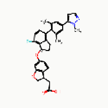 Cc1cc(-c2ccnn2C)cc(C)c1-c1ccc(F)c2c1CC[C@H]2Oc1ccc2c(c1)OCC2CC(=O)O